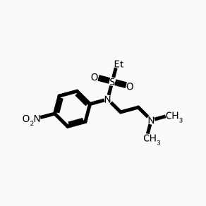 CCS(=O)(=O)N(CCN(C)C)c1ccc([N+](=O)[O-])cc1